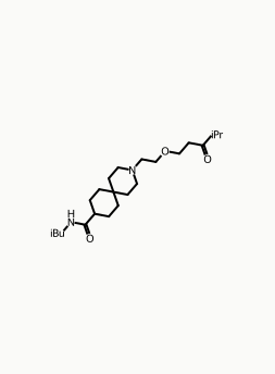 CCC(C)NC(=O)C1CCC2(CC1)CCN(CCOCCC(=O)C(C)C)CC2